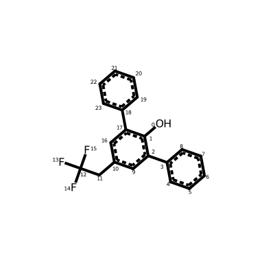 Oc1c(-c2ccccc2)cc(CC(F)(F)F)cc1-c1ccccc1